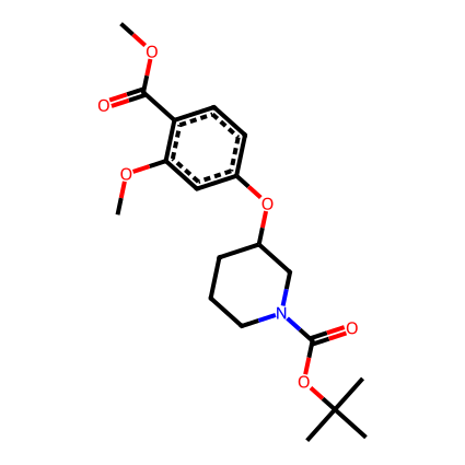 COC(=O)c1ccc(OC2CCCN(C(=O)OC(C)(C)C)C2)cc1OC